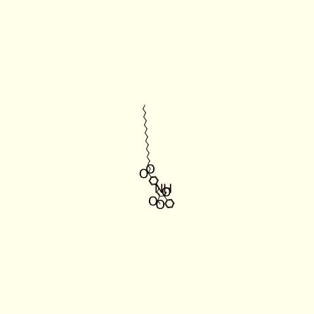 CCCCCCCCCCCCCCCCOC(=O)c1ccc(NC=C2C(=O)Oc3ccccc3C2=O)cc1